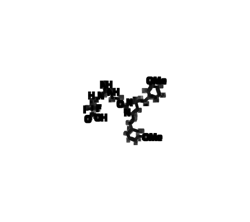 COc1cccc(C=Cc2cc(C=Cc3cccc(OC)c3)nc(OCCNC(=N)N)n2)c1.O=C(O)C(F)(F)F